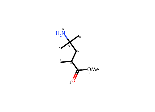 COC(=O)C(C)CC(C)(C)N